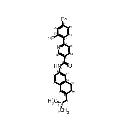 CN(C)CC1=Cc2ccc(NC(=O)c3ccc(-c4ccc(F)cc4F)nc3)cc2CC1